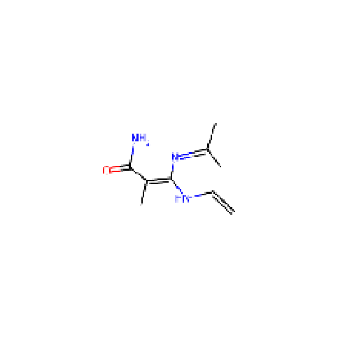 C=CN/C(N=C(C)C)=C(\C)C(N)=O